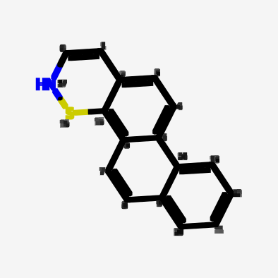 C1=Cc2ccc3c(ccc4ccccc43)c2SN1